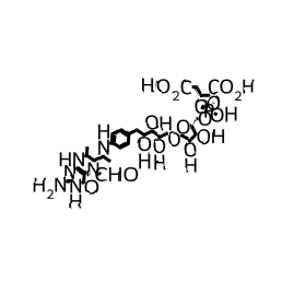 CC(Nc1ccc(CC(O)C(O)C(O)CO[C@H]2O[C@H](COP(=O)(O)OC(CCC(=O)O)C(=O)O)[C@@H](O)[C@H]2O)cc1)C1C(C)Nc2nc(N)[nH]c(=O)c2N1C=O